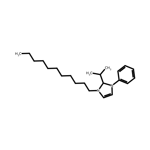 CCCCCCCCCCCN1C=CN(c2ccccc2)C1C(C)C